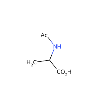 [CH2]C(NC(C)=O)C(=O)O